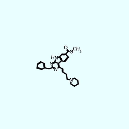 COC(=O)c1ccc2c(c1)[nH]c1nc(Cc3ccccc3)nc(C=CCCN3CCCCC3)c12